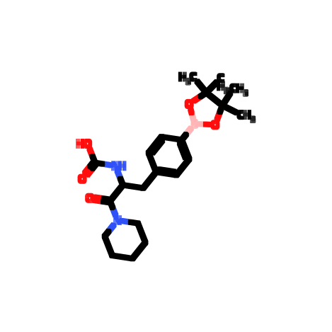 CC1(C)OB(c2ccc(CC(NC(=O)O)C(=O)N3CCCCC3)cc2)OC1(C)C